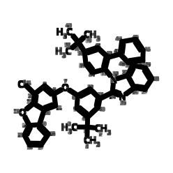 CC(C)(C)c1cc(Oc2cc(Cl)c3oc4ccccc4c3c2)cc(-c2nc3ccccc3n2-c2ccc(C(C)(C)C)cc2-c2ccccc2)c1